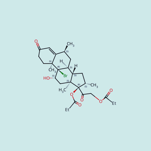 CCC(=O)OCC(=O)[C@@]1(OC(=O)CC)[C@@H](C)C[C@H]2[C@@H]3C[C@H](C)C4=CC(=O)CC[C@]4(C)[C@@]3(Br)[C@@H](O)C[C@@]21C